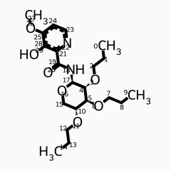 CCCO[C@@H]1[C@@H](OCCC)[C@H](OCCC)CO[C@H]1NC(=O)c1nccc(OC)c1O